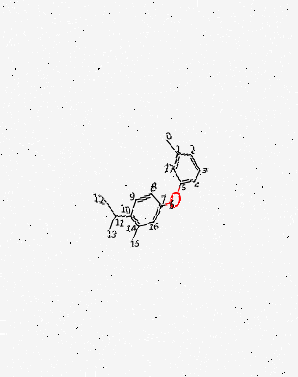 Cc1cccc(Oc2ccc(C(C)C)c(C)c2)c1